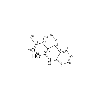 CCC(c1ccccc1)C(C(=O)O)C(C)C(C)=O